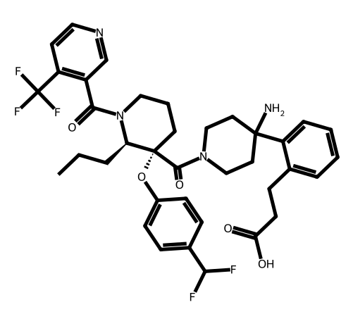 CCC[C@H]1N(C(=O)c2cnccc2C(F)(F)F)CCC[C@@]1(Oc1ccc(C(F)F)cc1)C(=O)N1CCC(N)(c2ccccc2CCC(=O)O)CC1